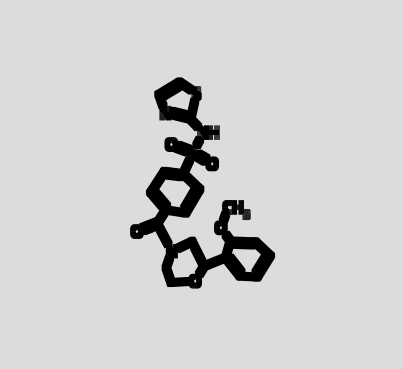 COc1ccccc1C1CN(C(=O)c2ccc(S(=O)(=O)Nc3nccs3)cc2)CCO1